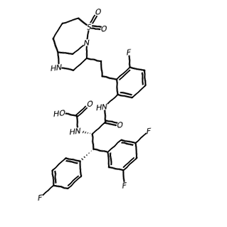 O=C(O)N[C@H](C(=O)Nc1cccc(F)c1CCC1CNC2CCCS(=O)(=O)N1C2)[C@@H](c1ccc(F)cc1)c1cc(F)cc(F)c1